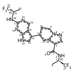 C[C@@H](NC(=O)c1cnn2ccc(-c3c[nH]c4nc(N[C@H](C)C(F)(F)F)ncc34)cc12)C(F)(F)F